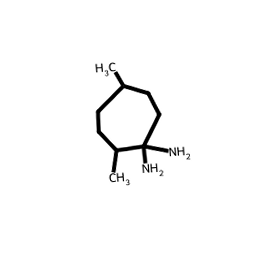 CC1CCC(C)C(N)(N)CC1